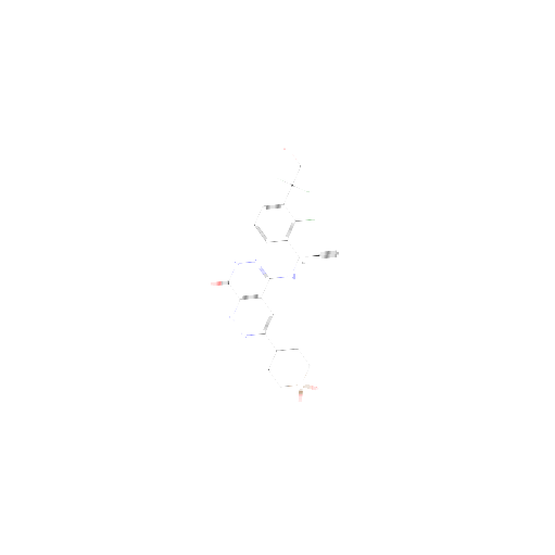 C#C[C@@H](Nc1n[nH]c(=O)c(N)c1/C=C(\N)C1CCS(=O)(=O)CC1)c1cccc(C(F)(F)CO)c1F